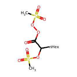 CCCCCCC(OS(C)(=O)=O)C(=O)OOS(C)(=O)=O